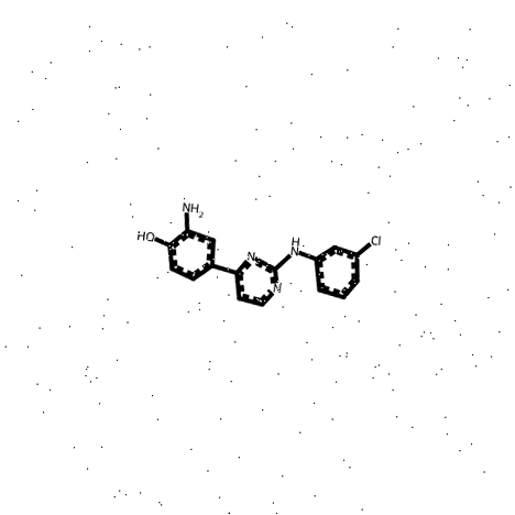 Nc1cc(-c2ccnc(Nc3cccc(Cl)c3)n2)ccc1O